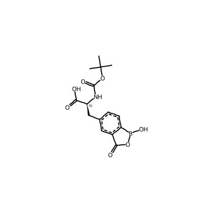 CC(C)(C)OC(=O)N[C@@H](Cc1ccc2c(c1)C(=O)OB2O)C(=O)O